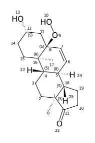 C[C@]12CC[C@H]3[C@@H](C=C[C@@]4(OO)C[C@@H](O)CC[C@]34C)[C@@H]1CCC2=O